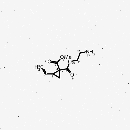 C=CC1CC1(C(=O)OC)C(=O)OCCN